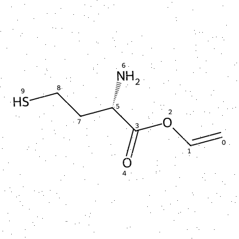 C=COC(=O)[C@@H](N)CCS